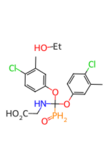 CCO.Cc1cc(OC(NCC(=O)O)(Oc2ccc(Cl)c(C)c2)[PH2]=O)ccc1Cl